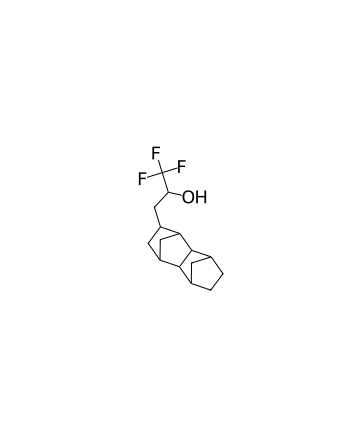 OC(CC1CC2CC1C1C3CCC(C3)C21)C(F)(F)F